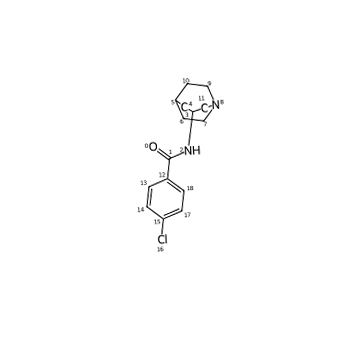 O=C(NC1CC2CCN(CC2)C1)c1ccc(Cl)cc1